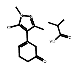 CC(C)C(=O)O.Cc1nn(C)c(Cl)c1C1=CCCC(=O)C1